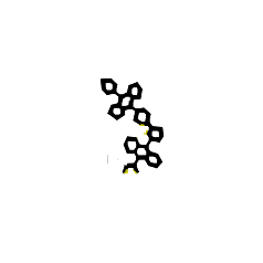 Cc1cscc1C1=c2ccccc2=C(c2cccc3c2sc2cc(-c4c5ccccc5c(-c5ccccc5)c5ccccc45)ccc23)C2C=CC=CC12